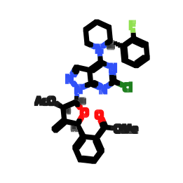 C=C1[C@H](c2ccccc2C(=O)OC)O[C@@H](n2ncc3c(N4CCCC[C@@H]4c4ccccc4F)nc(Cl)nc32)[C@@H]1OC(C)=O